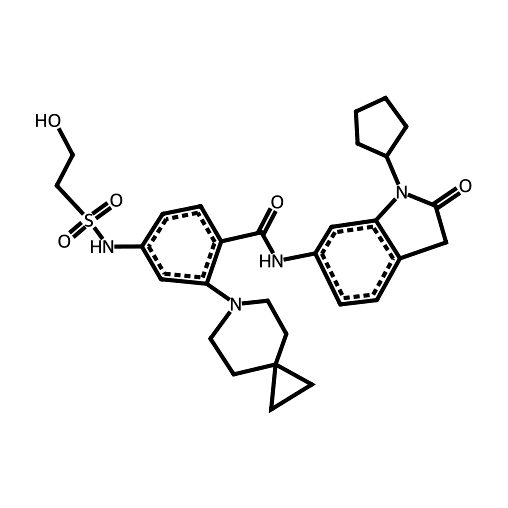 O=C(Nc1ccc2c(c1)N(C1CCCC1)C(=O)C2)c1ccc(NS(=O)(=O)CCO)cc1N1CCC2(CC1)CC2